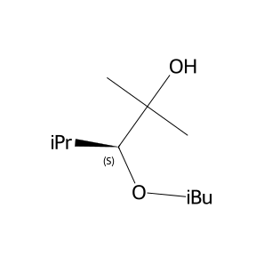 CCC(C)O[C@@H](C(C)C)C(C)(C)O